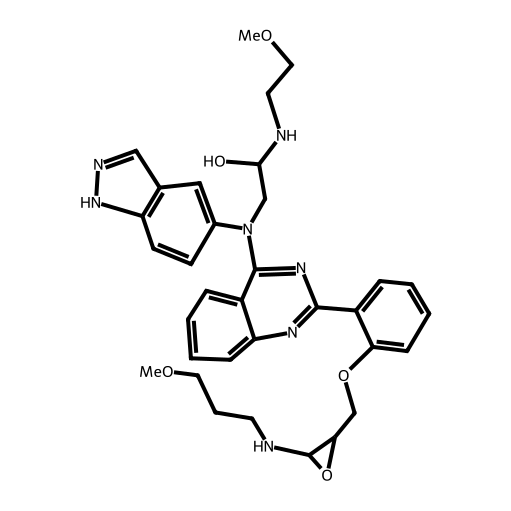 COCCCNC1OC1COc1ccccc1-c1nc(N(CC(O)NCCOC)c2ccc3[nH]ncc3c2)c2ccccc2n1